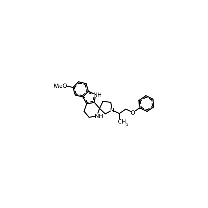 COc1ccc2[nH]c3c(c2c1)CCNC31CCN(C(C)COc2ccccc2)C1